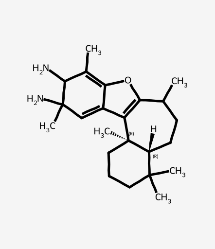 CC1=c2oc3c(c2=CC(C)(N)C1N)[C@]1(C)CCCC(C)(C)[C@H]1CCC3C